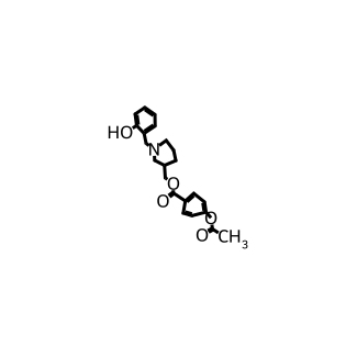 CC(=O)Oc1ccc(C(=O)OCC2CCCN(Cc3ccccc3O)C2)cc1